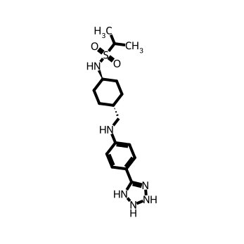 CC(C)S(=O)(=O)N[C@H]1CC[C@H](CNc2ccc(C3=NNNN3)cc2)CC1